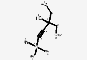 CC(=O)OCC(O)(C#C[Si](C(C)C)(C(C)C)C(C)C)COC(C)=O